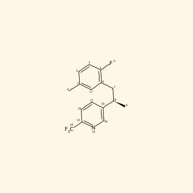 Cc1ccc(F)c(C[C@@H](C)c2ccc(C(F)(F)F)nc2)c1